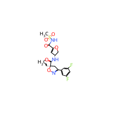 C=C[C@]1(C(=O)N[C@@H]2C=C(C(=O)NS(C)(=O)=O)OC2)CC(c2cc(F)cc(F)c2)=NO1